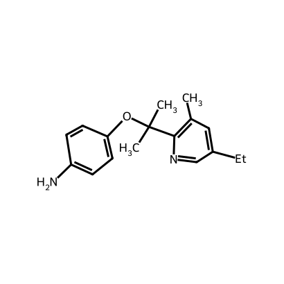 CCc1cnc(C(C)(C)Oc2ccc(N)cc2)c(C)c1